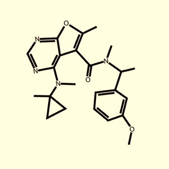 COc1cccc(C(C)N(C)C(=O)c2c(C)oc3ncnc(N(C)C4(C)CC4)c23)c1